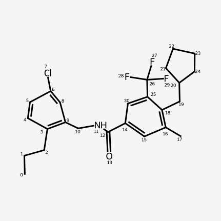 CCCc1ccc(Cl)cc1CNC(=O)c1cc(C)c(CC2CCCC2)c(C(F)(F)F)c1